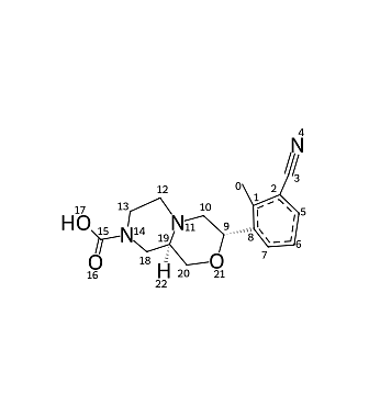 Cc1c(C#N)cccc1[C@H]1CN2CCN(C(=O)O)C[C@@H]2CO1